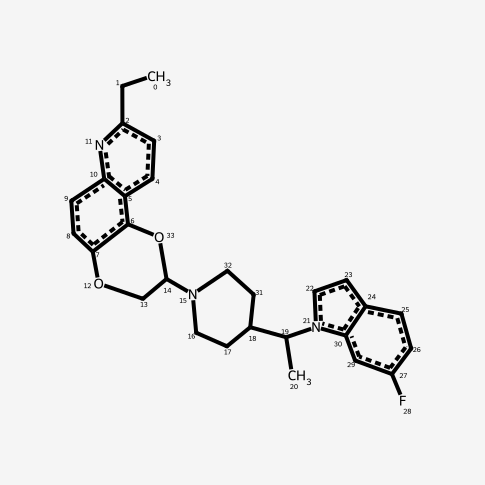 CCc1ccc2c3c(ccc2n1)OCC(N1CCC(C(C)n2ccc4ccc(F)cc42)CC1)O3